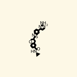 Nc1nccc(-c2ccc3nc(C4COc5ccc(C(=O)NC6CC6)cc5C4)sc3c2)n1